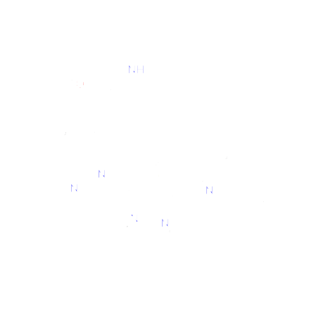 Cc1ccc(C)n1-c1nnc(-n2nccc2CC(N)=O)s1